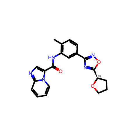 Cc1ccc(-c2noc([C@H]3CCCO3)n2)cc1NC(=O)c1cnc2ccccn12